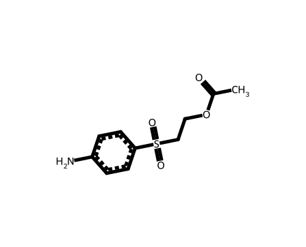 CC(=O)OCCS(=O)(=O)c1ccc(N)cc1